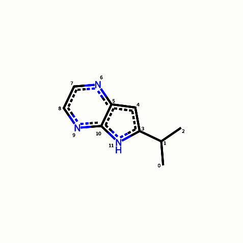 CC(C)c1cc2nccnc2[nH]1